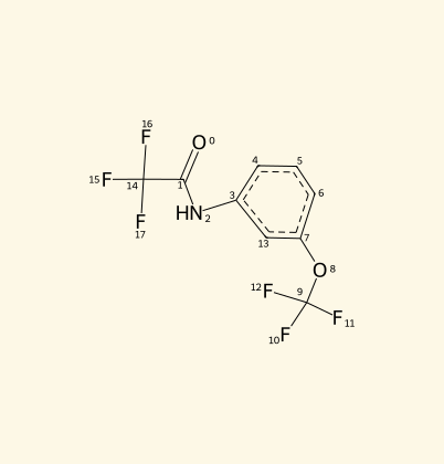 O=C(Nc1cccc(OC(F)(F)F)c1)C(F)(F)F